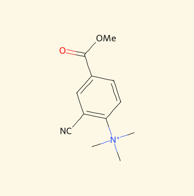 COC(=O)c1ccc([N+](C)(C)C)c(C#N)c1